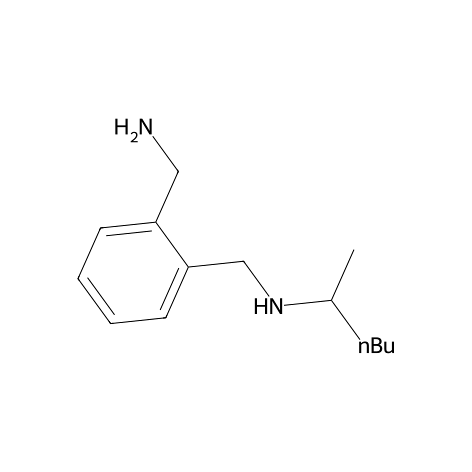 CCCCC(C)NCc1ccccc1CN